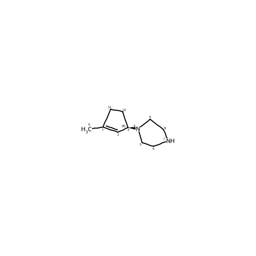 CC1=C[C@H](N2CCNCC2)CC1